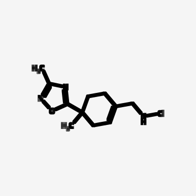 Cc1noc(C2(C)CC=C(CNCl)CC2)n1